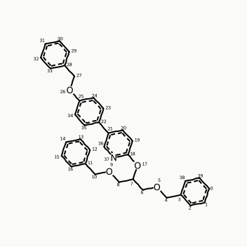 c1ccc(COCC(COCc2ccccc2)Oc2ccc(-c3ccc(OCc4ccccc4)cc3)cn2)cc1